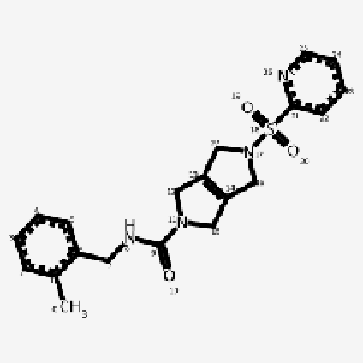 Cc1ccccc1CNC(=O)N1CC2=C(C1)CN(S(=O)(=O)c1ccccn1)C2